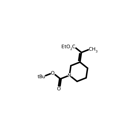 CCOC(=O)/C(C)=C1/CCCN(C(=O)OC(C)(C)C)C1